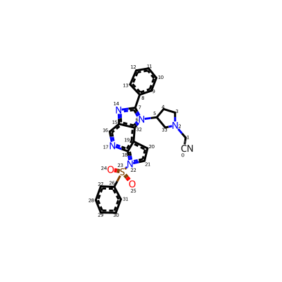 N#CCN1CCC(n2c(-c3ccccc3)nc3cnc4c(ccn4S(=O)(=O)c4ccccc4)c32)C1